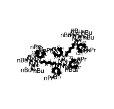 CCCCN(CCCC)c1nc(N(CCCC)CCCC)nc(N(CCCCCCN(c2nc(N(CCCC)C3CC(C)(C)N(OCCC)C(C)(C)C3)nc(N(CCCCCCN(c3nc(N(CCCC)CCCC)nc(N(CCCC)CCCC)n3)C3CC(C)(C)N(OCCC)C(C)(C)C3)C3CC(C)(C)N(OCCC)C(C)(C)C3)n2)C2CCN(OCCC)C(C)(C)C2)C2CC(C)(C)N(OCCC)C(C)(C)C2)n1